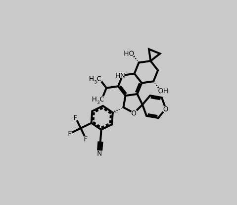 CC(C)C1=C2C(=C3C(N1)[C@H](O)C1(CC1)C[C@@H]3O)C1(C=COC=C1)O[C@@H]2c1ccc(C(F)(F)F)c(C#N)c1